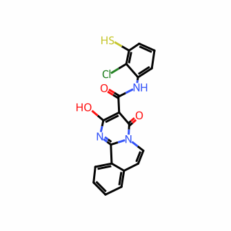 O=C(Nc1cccc(S)c1Cl)c1c(O)nc2c3ccccc3ccn2c1=O